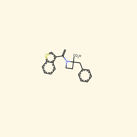 C=C(c1csc2ccccc12)N1CCC1(Cc1ccccc1)C(=O)O